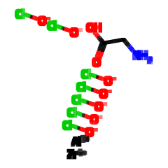 NCC(=O)O.[Al+3].[O-]Cl.[O-]Cl.[O-]Cl.[O-]Cl.[O-]Cl.[O-]Cl.[O-]Cl.[Zr+4]